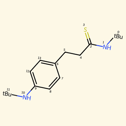 CC(C)(C)NC(=S)CCc1ccc(NC(C)(C)C)cc1